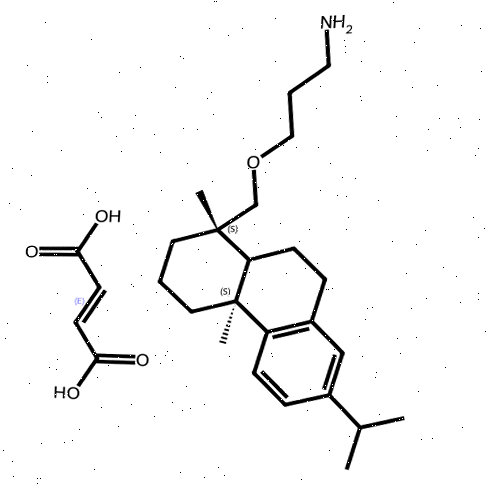 CC(C)c1ccc2c(c1)CCC1[C@@](C)(COCCCN)CCC[C@]21C.O=C(O)/C=C/C(=O)O